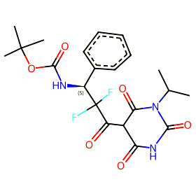 CC(C)N1C(=O)NC(=O)C(C(=O)C(F)(F)[C@@H](NC(=O)OC(C)(C)C)c2ccccc2)C1=O